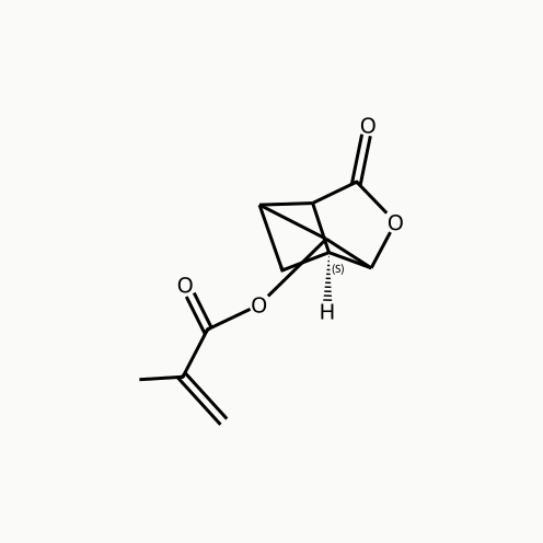 C=C(C)C(=O)OC1C2C[C@@H]3C1OC(=O)C23